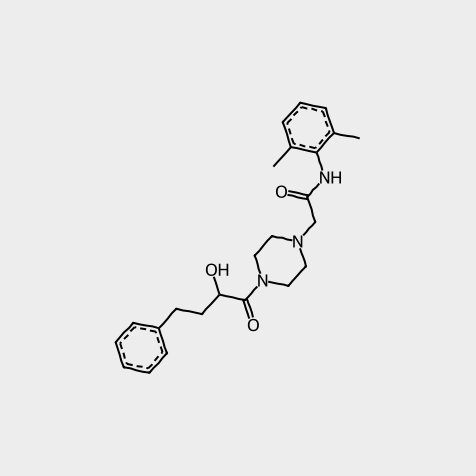 Cc1cccc(C)c1NC(=O)CN1CCN(C(=O)C(O)CCc2ccccc2)CC1